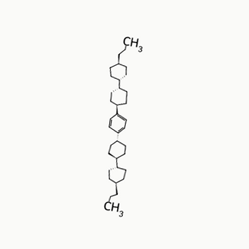 CCC[C@H]1CC[C@H]([C@H]2CC[C@H](c3ccc([C@H]4CC[C@H]([C@H]5CC[C@H](CCC)CC5)CC4)cc3)CC2)CC1